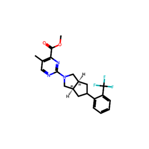 COC(=O)c1nc(N2C[C@H]3CC(c4ccccc4C(F)(F)F)C[C@H]3C2)ncc1C